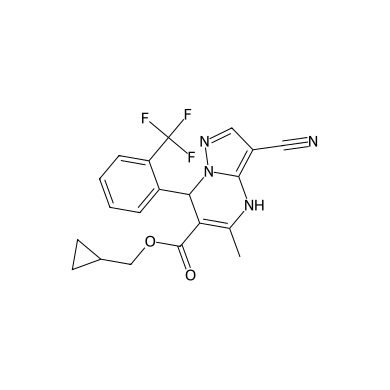 CC1=C(C(=O)OCC2CC2)C(c2ccccc2C(F)(F)F)n2ncc(C#N)c2N1